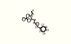 C=CC1OC(=O)OC1CCOCc1ccccc1